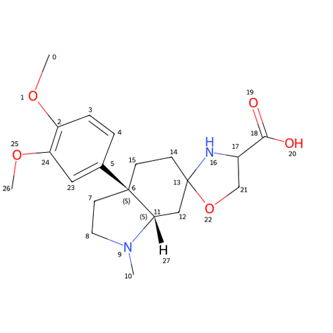 COc1ccc([C@]23CCN(C)[C@H]2CC2(CC3)NC(C(=O)O)CO2)cc1OC